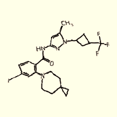 Cc1cc(NC(=O)c2ccc(I)cc2N2CCC3(CC2)CC3)nn1C1CC(C(F)(F)F)C1